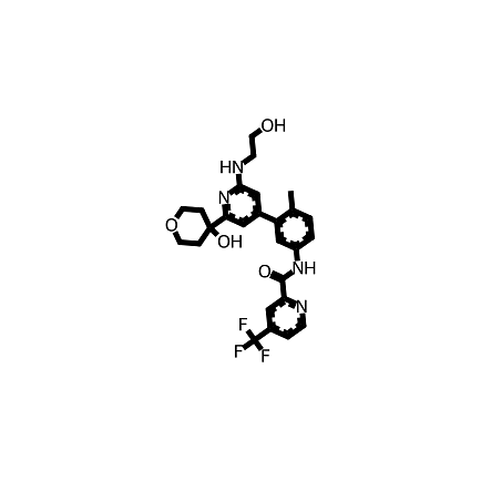 Cc1ccc(NC(=O)c2cc(C(F)(F)F)ccn2)cc1-c1cc(NCCO)nc(C2(O)CCOCC2)c1